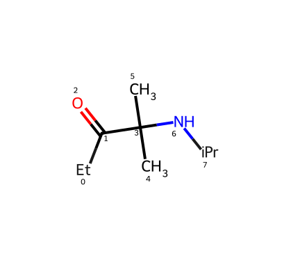 CCC(=O)C(C)(C)NC(C)C